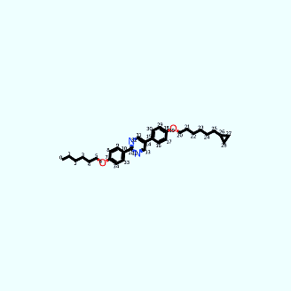 CCCCCCOc1ccc(-c2ncc(-c3ccc(OCCCCCCC4CC4)cc3)cn2)cc1